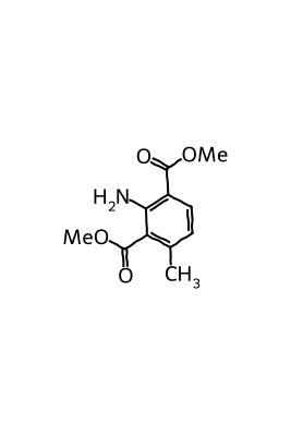 COC(=O)c1ccc(C)c(C(=O)OC)c1N